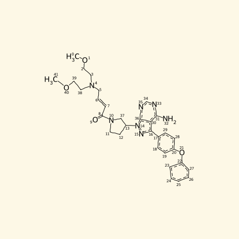 COCCN(CC=CC(=O)N1CCC(n2nc(-c3ccc(Oc4ccccc4)cc3)c3c(N)ncnc32)C1)CCOC